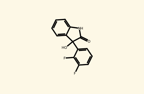 O=C1Nc2ccccc2C1(O)c1cccc(F)c1F